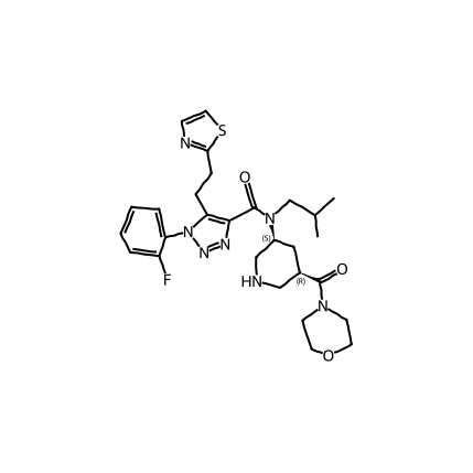 CC(C)CN(C(=O)c1nnn(-c2ccccc2F)c1CCc1nccs1)[C@@H]1CNC[C@H](C(=O)N2CCOCC2)C1